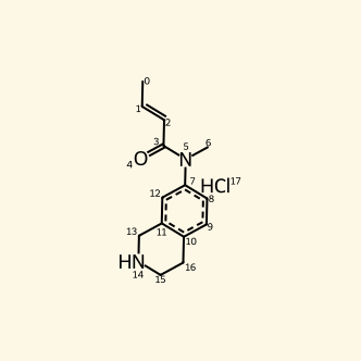 C/C=C/C(=O)N(C)c1ccc2c(c1)CNCC2.Cl